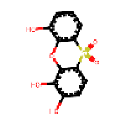 O=S1(=O)c2cccc(O)c2Oc2c1ccc(O)c2O